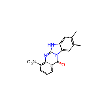 Cc1cc2[nH]c3nc4c([N+](=O)[O-])cccc4c(=O)n3c2cc1C